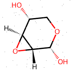 O[C@@H]1CO[C@H](O)[C@@H]2O[C@H]21